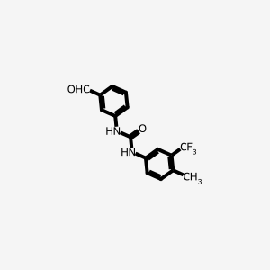 Cc1ccc(NC(=O)Nc2cccc(C=O)c2)cc1C(F)(F)F